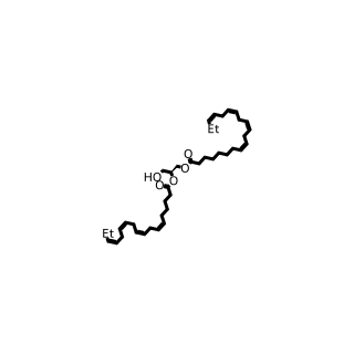 CC/C=C\C/C=C\C/C=C\C/C=C\CCCCCCC(=O)OC[C@H](CO)OC(=O)CCCC/C=C\C/C=C\C/C=C\C/C=C\CC